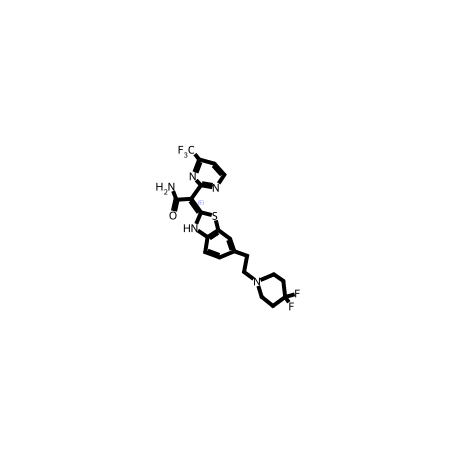 NC(=O)/C(=C1\Nc2ccc(CCN3CCC(F)(F)CC3)cc2S1)c1nccc(C(F)(F)F)n1